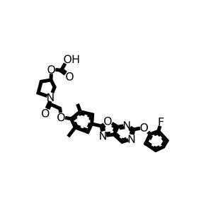 Cc1cc(-c2nc3cnc(Oc4ccccc4F)nc3o2)cc(C)c1OCC(=O)N1CCC(OC(=O)O)C1